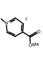 COC(=O)c1cc[n+](C)cc1.[I-]